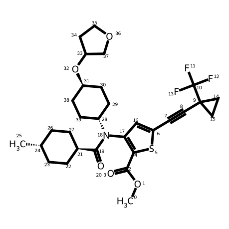 COC(=O)c1sc(C#CC2(C(F)(F)F)CC2)cc1N(C(=O)[C@H]1CC[C@H](C)CC1)[C@H]1CC[C@H](OC2CCOC2)CC1